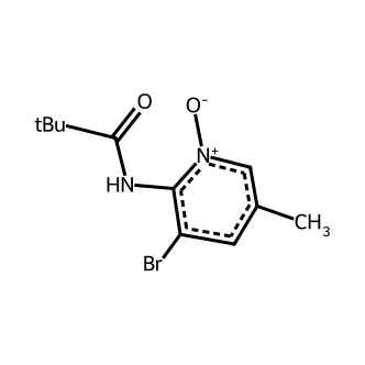 Cc1cc(Br)c(NC(=O)C(C)(C)C)[n+]([O-])c1